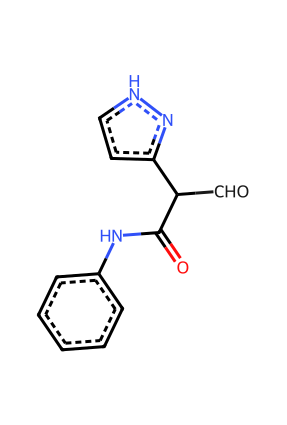 O=CC(C(=O)Nc1ccccc1)c1cc[nH]n1